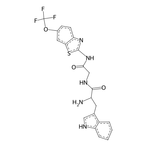 NC(Cc1c[nH]c2ccccc12)C(=O)NCC(=O)Nc1nc2ccc(OC(F)(F)F)cc2s1